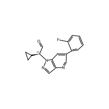 O=C[C@H](C1CC1)n1ncc2ncc(-c3ccccc3F)cc21